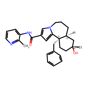 CC[C@@]1(O)CC[C@@]2(Cc3ccccc3)c3cc(C(=O)Nc4cccnc4C)cn3CCC[C@H]2C1